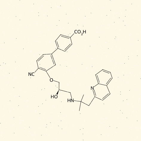 CC(C)(Cc1ccc2ccccc2n1)NC[C@@H](O)COc1cc(-c2ccc(C(=O)O)cc2)ccc1C#N